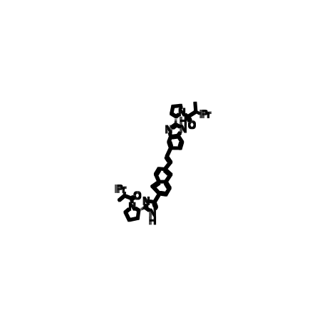 CC(C)[C@H](C)C(=O)N1CCC[C@H]1c1nc(-c2ccc3cc(/C=C/c4ccc5[nH]c([C@@H]6CCCN6C(=O)[C@@H](C)C(C)C)nc5c4)ccc3c2)c[nH]1